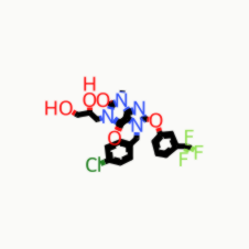 Cn1c(=O)n(CC(O)CO)c(=O)c2c1nc(Oc1cccc(C(F)(F)F)c1)n2Cc1ccc(Cl)cc1